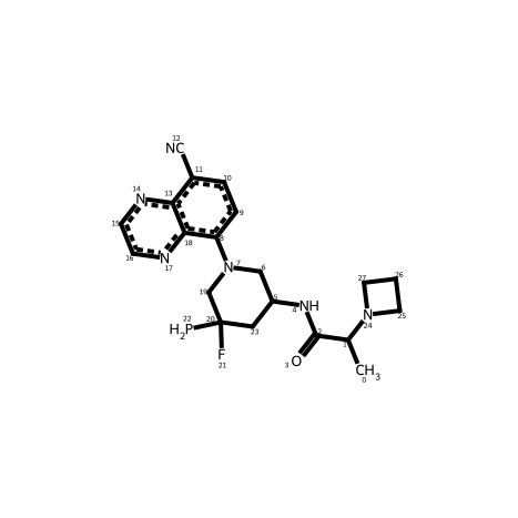 CC(C(=O)NC1CN(c2ccc(C#N)c3nccnc23)CC(F)(P)C1)N1CCC1